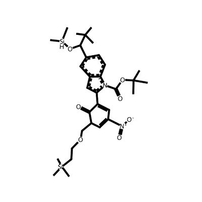 C[SiH](C)OC(c1ccc2c(c1)cc(C1=CC([N+](=O)[O-])=CC(COCC[Si](C)(C)C)C1=O)n2C(=O)OC(C)(C)C)C(C)(C)C